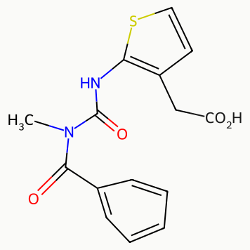 CN(C(=O)Nc1sccc1CC(=O)O)C(=O)c1ccccc1